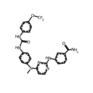 CN(c1ccc(NC(=O)Nc2ccc(OC(F)(F)F)cc2)cc1)c1ccnc(Nc2cccc(C(N)=O)c2)n1